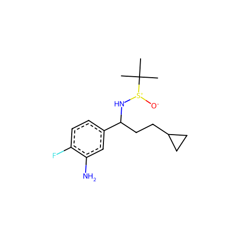 CC(C)(C)[S+]([O-])NC(CCC1CC1)c1ccc(F)c(N)c1